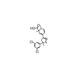 CC1C=CC(C2=NSC(C)(c3cc(Cl)cc(Cl)c3)C2)=CC1(C)C(=O)O